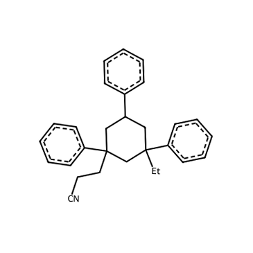 CCC1(c2ccccc2)CC(c2ccccc2)CC(CCC#N)(c2ccccc2)C1